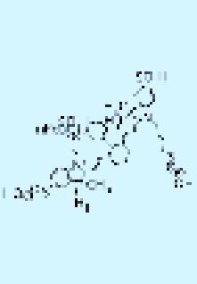 CCCCCOc1cccc(C2=C(/C=C/C3=[N+](CCCCS(=O)(=O)O)c4ccc(SOOO)cc4C3(C)C)CCC/C2=C\C=C2\N(CCCCSOOO)c3ccc(S(=O)(=O)O)cc3C2(C)C)c1